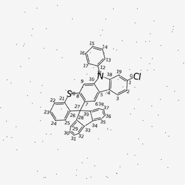 Clc1ccc2c3cc4c(cc3n(-c3ccccc3)c2c1)Sc1ccccc1C41c2ccccc2-c2ccccc21